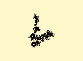 C=C1C[C@H](CCCO[Si](C)(C)C(C)(C)C)O[C@H]1CC[C@H]1C[C@@H](C)C(=C)[C@@H](C[C@@H]2O[C@H](C[C@H]3CN(C(=O)OC(C)(C)C)C(=O)O3)[C@H](OC)[C@H]2CS(=O)(=O)c2ccccc2)O1